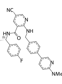 CNc1ccc(-c2ccc(CNc3ncc(C#N)cc3C(=O)N[C@@H](C)c3ccc(F)cc3)cc2)cn1